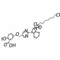 CCCCCCCCS(=O)(=O)n1cc(-c2ncc(COc3ccc(O)c(C(=O)O)c3)cn2)c2ccccc21